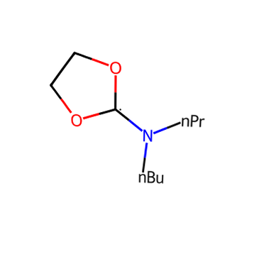 CCCCN(CCC)[C]1OCCO1